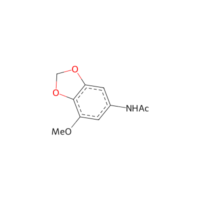 COc1cc(NC(C)=O)cc2c1OCO2